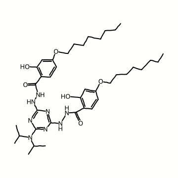 CCCCCCCCOc1ccc(C(=O)NNc2nc(NNC(=O)c3ccc(OCCCCCCCC)cc3O)nc(N(C(C)C)C(C)C)n2)c(O)c1